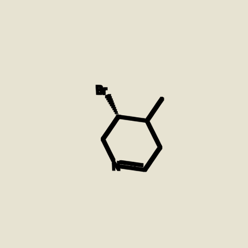 CC1CC=NC[C@@H]1Br